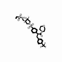 C=CS(=O)(=O)NC[C@@H]1CN(S(=O)(=O)c2ccc(C(Cc3ccc(C(F)(F)F)cc3)C(=O)N3CCOCC3)cc2)CC1(F)F